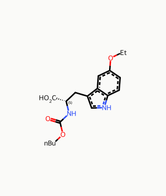 CCCCOC(=O)N[C@@H](Cc1c[nH]c2ccc(OCC)cc12)C(=O)O